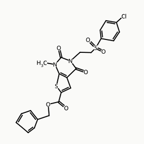 Cn1c(=O)n(CCS(=O)(=O)c2ccc(Cl)cc2)c(=O)c2cc(C(=O)OCc3ccccc3)sc21